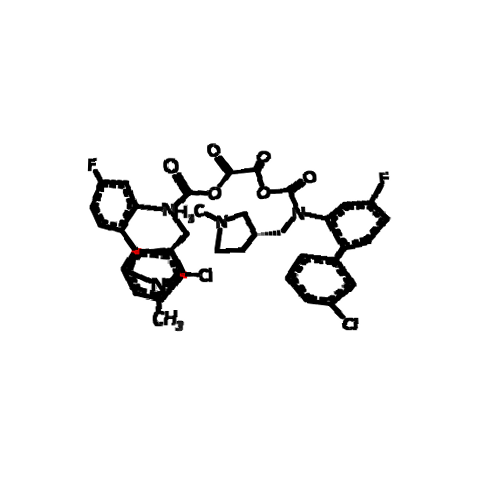 CN1CC[C@@H](CN(C(=O)OC(=O)C(=O)OC(=O)N(C[C@@H]2CCN(C)C2)c2cc(F)ccc2-c2cccc(Cl)c2)c2cc(F)ccc2-c2cccc(Cl)c2)C1